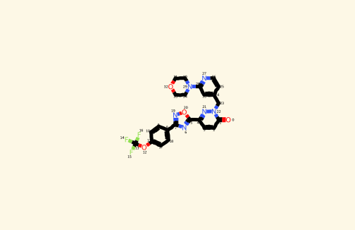 O=c1ccc(-c2nc(-c3ccc(OC(F)(F)F)cc3)no2)nn1Cc1ccnc(N2CCOCC2)c1